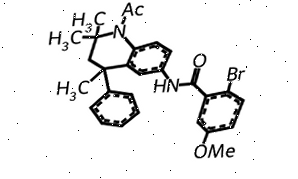 COc1ccc(Br)c(C(=O)Nc2ccc3c(c2)C(C)(c2ccccc2)CC(C)(C)N3C(C)=O)c1